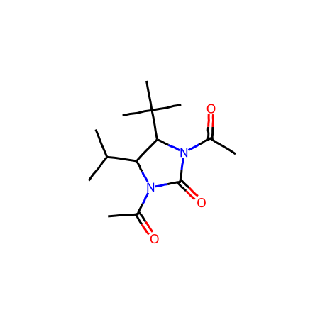 CC(=O)N1C(=O)N(C(C)=O)C(C(C)(C)C)C1C(C)C